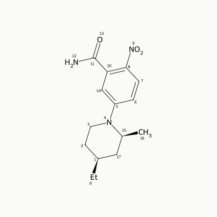 CC[C@H]1CCN(c2ccc([N+](=O)[O-])c(C(N)=O)c2)[C@@H](C)C1